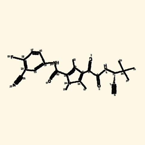 C#C[C@H](NC(=O)C(=O)c1c(C)c(C(=O)Nc2ccc(F)c(C#N)c2)n(C)c1C)C(C)(C)C